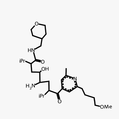 COCCCCc1cc(C(=O)C(CC(N)C(O)CC(C(=O)NCC2CCOCC2)C(C)C)C(C)C)cc(C)n1